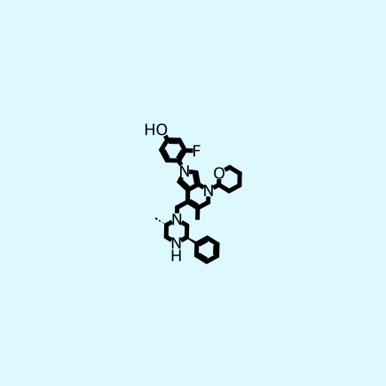 CC1=C(CN2C[C@@H](c3ccccc3)NC[C@@H]2C)c2cn(-c3ccc(O)cc3F)cc2N(C2CCCCO2)C1